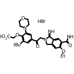 Br.CCOc1cc2c(cc1C(N)=O)C(=N)N(CC(=O)c1cc(N3CCOCC3)c(OCC(=O)O)c(C(C)(C)C)c1)C2